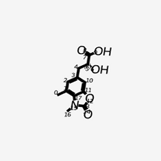 Cc1cc(C[C@@H](O)C(=O)O)cc2oc(=O)n(C)c12